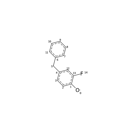 [O]c1ccc(Cc2ccccc2)cc1F